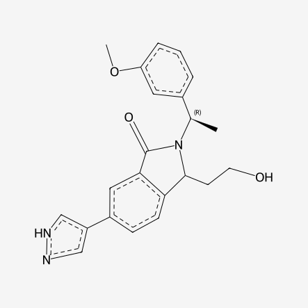 COc1cccc([C@@H](C)N2C(=O)c3cc(-c4cn[nH]c4)ccc3C2CCO)c1